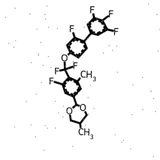 Cc1cc(C2OCC(C)CO2)cc(F)c1C(F)(F)Oc1ccc(-c2cc(F)c(F)c(F)c2)c(F)c1